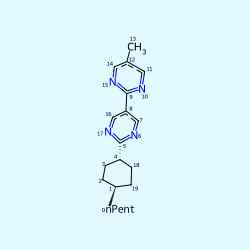 CCCCC[C@H]1CC[C@H](c2ncc(-c3ncc(C)cn3)cn2)CC1